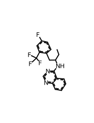 CCC(Cc1ccc(F)cc1C(F)(F)F)Nc1ncnc2ccccc12